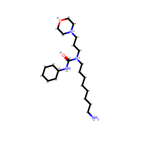 NCCCCCCCCN(CCCN1CCOCC1)C(=O)NC1CCCCC1